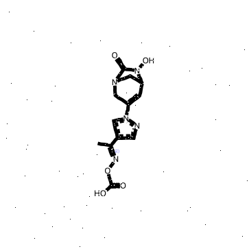 C/C(=N\OC(=O)O)c1cnn(C2=CC3CN(C2)C(=O)N3O)c1